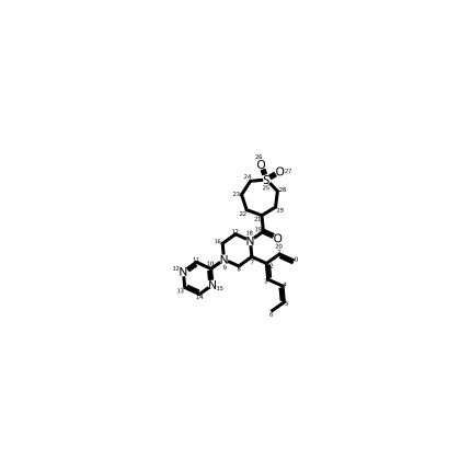 C=C/C(=C\C=C/C)C1CN(c2cnccn2)CCN1C(=O)C1CCCS(=O)(=O)CC1